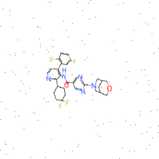 O=C(Nc1c(-c2cc(F)ccc2F)ccnc1C1CCC(F)(F)CC1)c1cnc(N2CC3COCC(C3)C2)nc1